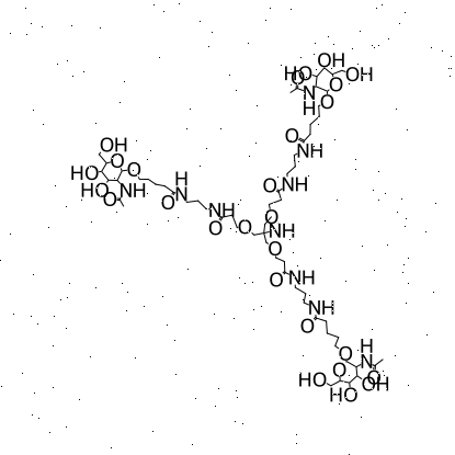 CNC(COCCC(=O)NCCCNC(=O)CCCCOC1OC(CO)C(O)C(O)C1NC(C)=O)(COCCC(=O)NCCCNC(=O)CCCCOC1OC(CO)C(O)C(O)C1NC(C)=O)COCCC(=O)NCCCNC(=O)CCCCOC1OC(CO)C(O)C(O)C1NC(C)=O